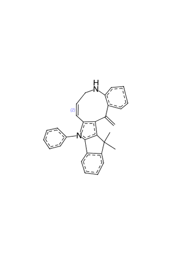 C=C1c2ccccc2NC/C=C\c2c1c1c(n2-c2ccccc2)-c2ccccc2C1(C)C